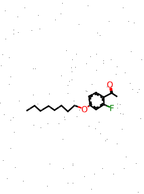 CCCCCCCCOc1ccc(C(C)=O)c(F)c1